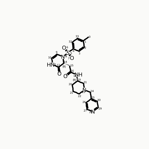 Cc1ccc(S(=O)(=O)N2C=CNC(=O)[C@H]2CC(=O)N[C@@H]2CCCN(Cc3ccncc3)C2)cc1